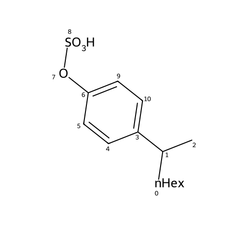 CCCCCCC(C)c1ccc(OS(=O)(=O)O)cc1